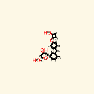 Cc1ccc([C@H]2CC(O)C[C@@H](CO)O2)cc1Cc1ccc(OC2CCC2O)cc1